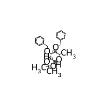 CC1O[C@@H]2OC(C)(C)O[C@H]2C(OCc2ccccc2)[C@H]1OCc1ccccc1